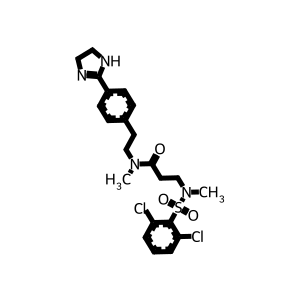 CN(CCc1ccc(C2=NCCN2)cc1)C(=O)CCN(C)S(=O)(=O)c1c(Cl)cccc1Cl